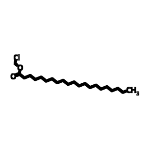 CCCCCCCCCCCCCCCCCCCCC(=O)OCCl